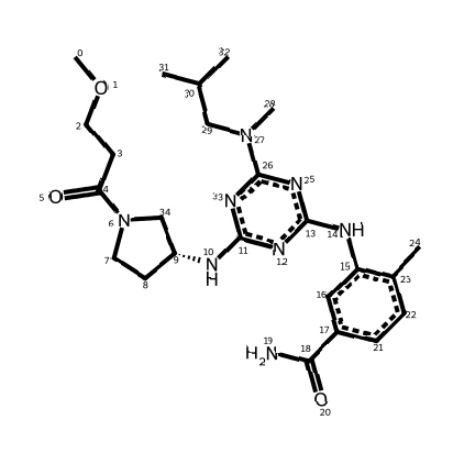 COCCC(=O)N1CC[C@@H](Nc2nc(Nc3cc(C(N)=O)ccc3C)nc(N(C)CC(C)C)n2)C1